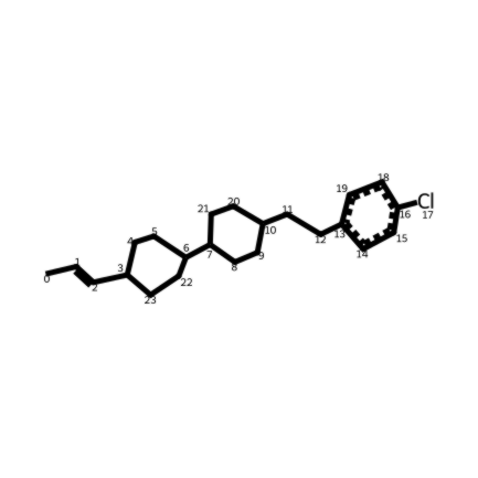 CC=CC1CCC(C2CCC(CCc3ccc(Cl)cc3)CC2)CC1